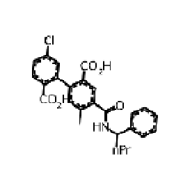 CCCC(NC(=O)c1cc(C(=O)O)c(-c2cc(Cl)ccc2C(=O)O)cc1C)c1ccccc1